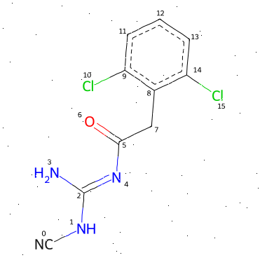 N#CN/C(N)=N/C(=O)Cc1c(Cl)cccc1Cl